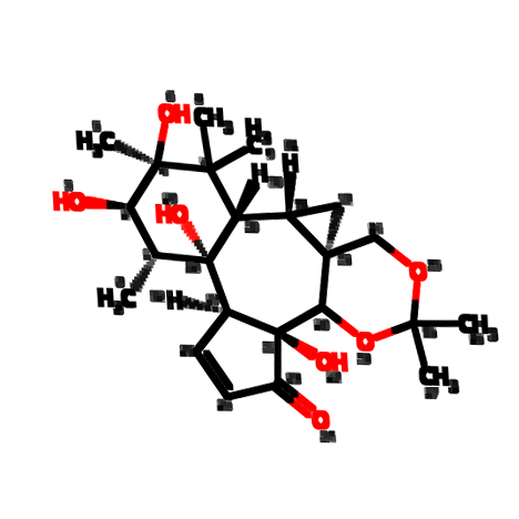 C[C@@H]1[C@@H](O)[C@@](C)(O)C(C)(C)[C@@H]2[C@@H]3C[C@@]34COC(C)(C)OC4[C@]3(O)C(=O)C=C[C@H]3[C@@]12O